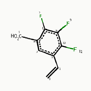 C=Cc1cc(C(=O)O)c(F)c(F)c1F